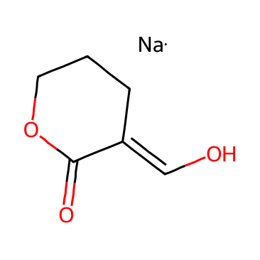 O=C1OCCC/C1=C\O.[Na]